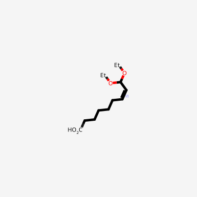 CCOC(/C=C\CCCCCC(=O)O)OCC